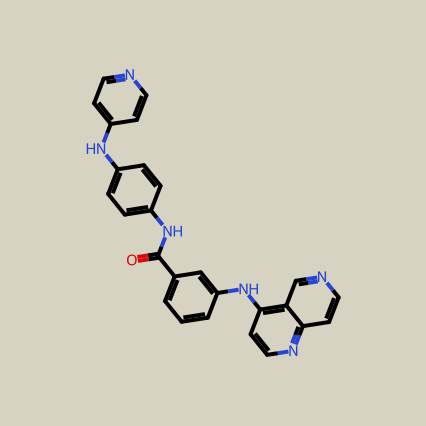 O=C(Nc1ccc(Nc2ccncc2)cc1)c1cccc(Nc2ccnc3ccncc23)c1